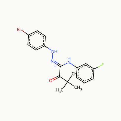 CC(C)(C)C(=O)/C(=N/Nc1ccc(Br)cc1)Nc1cccc(F)c1